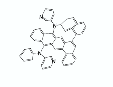 C1=CCC(N(c2cccnc2)c2c3ccccc3c(N(c3ccccc3)c3cccnc3)c3cc4c(cc23)c(-c2ccccc2)cc2ccccc24)C=C1